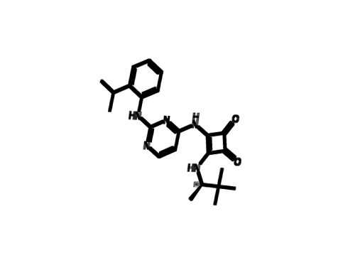 CC(C)c1ccccc1Nc1nccc(Nc2c(N[C@H](C)C(C)(C)C)c(=O)c2=O)n1